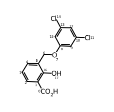 O=C(O)c1cccc(COc2cc(Cl)cc(Cl)c2)c1O